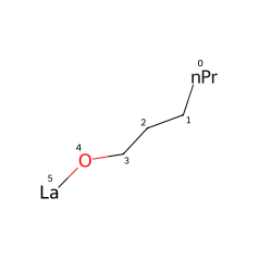 CCCCCC[O][La]